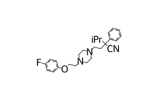 CC(C)C(C#N)(CCN1CCN(CCOc2ccc(F)cc2)CC1)c1ccccc1